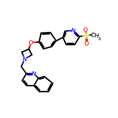 CS(=O)(=O)c1ccc(-c2ccc(OC3CN(Cc4ccc5ccccc5n4)C3)cc2)cn1